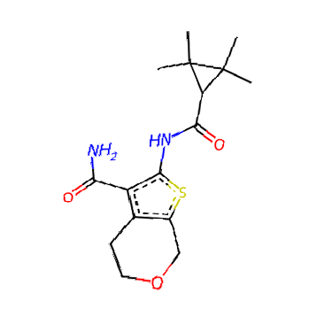 CC1(C)C(C(=O)Nc2sc3c(c2C(N)=O)CCOC3)C1(C)C